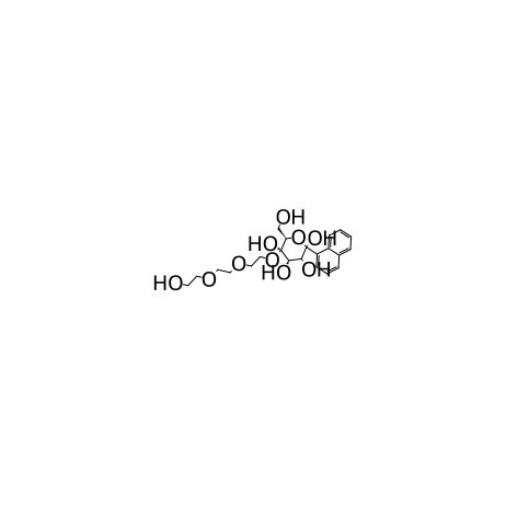 OCCOCCOCCO[C@@]1(O)[C@H](O)[C@@H](O)[C@](O)(c2cccc3ccccc23)O[C@@H]1CO